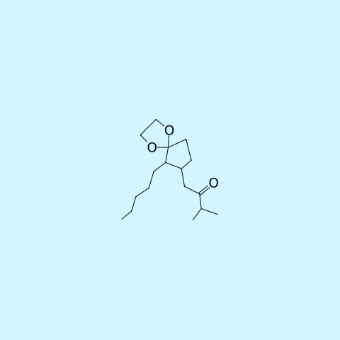 CCCCCC1C(CC(=O)C(C)C)CCC12OCCO2